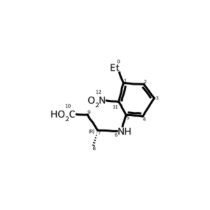 CCc1cccc(N[C@H](C)CC(=O)O)c1[N+](=O)[O-]